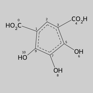 O=C(O)c1cc(C(=O)O)c(O)c(O)c1O